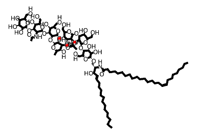 CCCCCCCC/C=C\CCCCCCCCCCCCCCCC(=O)N[C@@H](CO[C@@H]1OC(CO)[C@@H](O[C@@H]2OC(CO)[C@H](O)[C@H](O[C@@H]3OC(CO)[C@@H](O[C@@H]4OC(CO)[C@H](O)[C@H](O[C@H]5OC(CO)[C@H](O)[C@H](O[C@@H]6OC(CO)[C@H](O)[C@H](O)C6O)C5NC(C)=O)C4O[C@H]4OC(C)[C@@H](O)C(O)[C@@H]4O)[C@H](O)C3NC(C)=O)C2O)[C@H](O)C1O)[C@H](O)/C=C/CCCCCCCCCCCCC